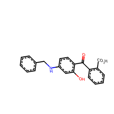 O=C(O)c1ccccc1C(=O)c1ccc(NCc2ccccc2)cc1O